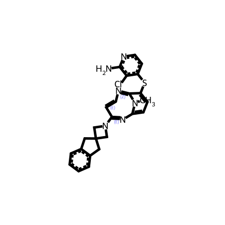 CN1C2=CC=C(Sc3ccnc(N)c3Cl)/C1=N/C=C/C(N1CC3(Cc4ccccc4C3)C1)=N\2